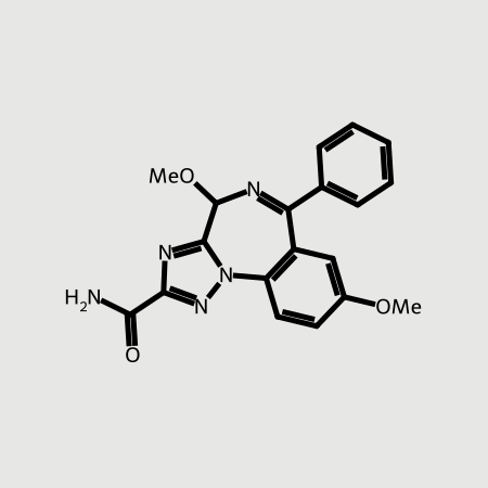 COc1ccc2c(c1)C(c1ccccc1)=NC(OC)c1nc(C(N)=O)nn1-2